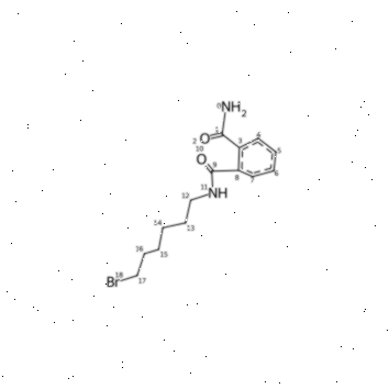 NC(=O)c1ccccc1C(=O)NCCCCCCBr